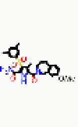 COc1ccc2c(c1)CN(C(=O)c1[nH]c(C(N)=O)c(S(=O)(=O)c3cc(C)cc(C)c3)c1C)CCC2